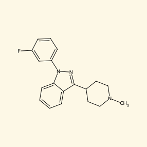 CN1CCC(c2nn(-c3cccc(F)c3)c3ccccc23)CC1